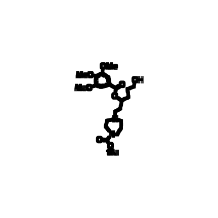 COc1cc(C(=O)OC(CCCO)CCN2CCCN(C(=O)OC(C)(C)C)CC2)cc(OC)c1OC